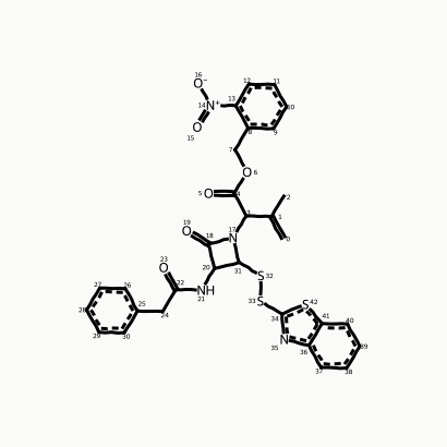 C=C(C)C(C(=O)OCc1ccccc1[N+](=O)[O-])N1C(=O)C(NC(=O)Cc2ccccc2)C1SSc1nc2ccccc2s1